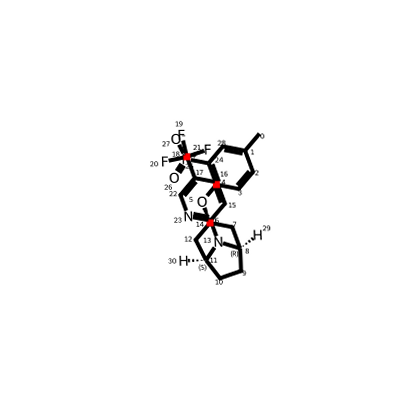 Cc1ccc(O[C@H]2C[C@H]3CC[C@@H](C2)N3c2ccc(C(F)(F)F)cn2)c([N+](=O)[O-])c1